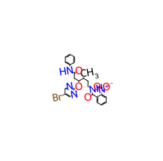 CC(CCNC(=O)c1ccccc1[N+](=O)[O-])C(CC(=O)Nc1ccccc1)Oc1ncc(Br)cn1